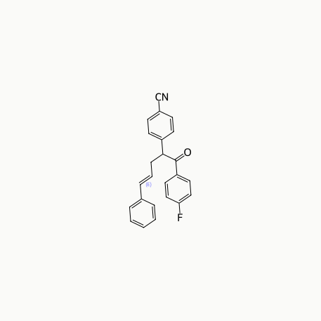 N#Cc1ccc(C(C/C=C/c2ccccc2)C(=O)c2ccc(F)cc2)cc1